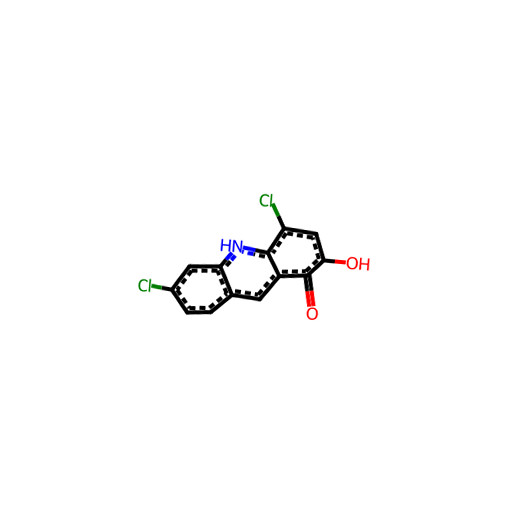 O=c1c(O)cc(Cl)c2[nH]c3cc(Cl)ccc3cc1-2